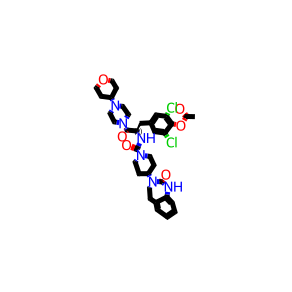 CC(=O)Oc1c(Cl)cc(C[C@@H](NC(=O)N2CCC(N3CCc4ccccc4NC3=O)CC2)C(=O)N2CCN(C3CCOCC3)CC2)cc1Cl